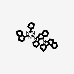 c1ccc(-c2nc(-c3cccc4ccccc34)nc(-n3c4ccccc4c4c(-n5c6ccccc6c6c7ccccc7ccc65)c5ccccc5cc43)n2)cc1